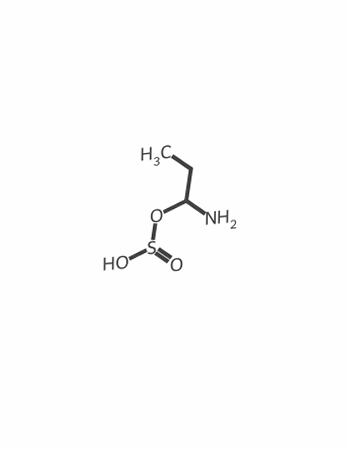 CCC(N)OS(=O)O